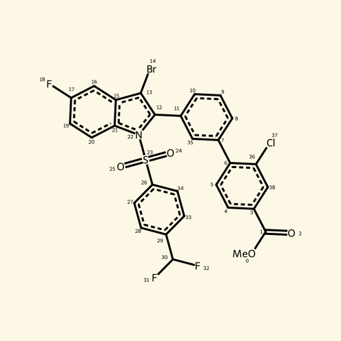 COC(=O)c1ccc(-c2cccc(-c3c(Br)c4cc(F)ccc4n3S(=O)(=O)c3ccc(C(F)F)cc3)c2)c(Cl)c1